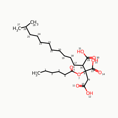 CCCCCC(=O)OC(CC(=O)O)(C(=O)O)C(CCCCCCCCCC(C)C)C(=O)O